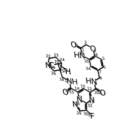 O=C1COc2ccc(CNC(=O)c3cc(C(=O)NC[C@@H]4CN5CCC4CC5)n4ncc(F)c4n3)cc2N1